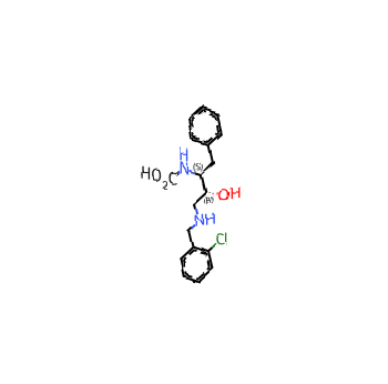 O=C(O)N[C@@H](Cc1ccccc1)[C@H](O)CNCc1ccccc1Cl